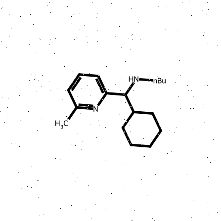 CCCCNC(c1cccc(C)n1)C1CCCCC1